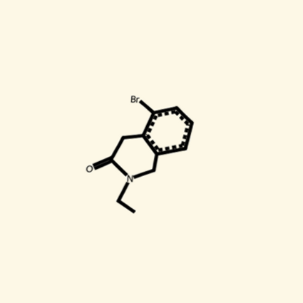 CCN1Cc2cccc(Br)c2CC1=O